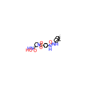 C[C@]12CC3CC(NC(=O)Nc4ccc(S(=O)(=O)N5CCC[C@H](C(=O)NO)C5)cc4)(C1)C[C@@](C)(C3)C2